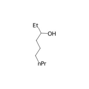 [CH2]CCCCCC(O)C[CH2]